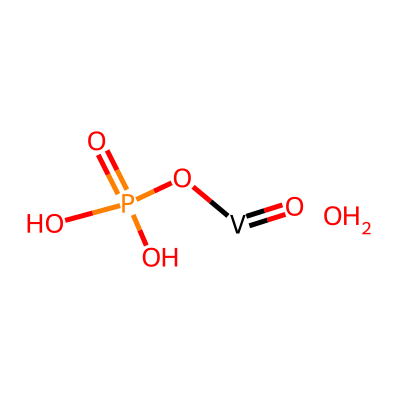 O.[O]=[V][O]P(=O)(O)O